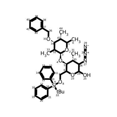 CC1O[C@@H](O[C@@H]2C(CO[Si](c3ccccc3)(c3ccccc3)C(C)(C)C)OC(O)C(N=[N+]=[N-])[C@H]2C)C(C)[C@H](OCc2ccccc2)[C@@H]1C